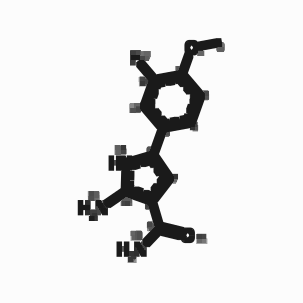 COc1ccc(-c2cc(C(N)=O)c(N)[nH]2)cc1F